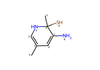 CC1=CNC(C)(S)C(N)=C1